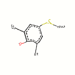 CCCCSc1cc(CC)c([O])c(CC)c1